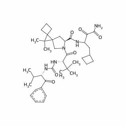 CC(C)[C@H](NC(=O)N[C@H](C(=O)N1CC2(C[C@H]1C(=O)NC(CC1CCC1)C(=O)C(N)=O)C(C)(C)C21CCC1)C(C)(C)C)C(=O)c1ccccc1